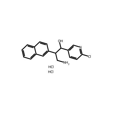 Cl.Cl.NCC(c1ccc2ccccc2c1)C(O)c1ccc(Cl)nc1